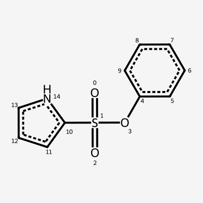 O=S(=O)(Oc1ccccc1)c1ccc[nH]1